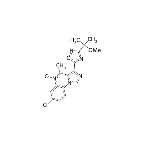 COC(C)(C)c1noc(-c2ncn3c2c(C)[n+]([O-])c2cc(Cl)ccc23)n1